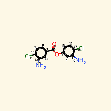 Nc1cc(OC(=O)c2ccc(Cl)c(N)c2)ccc1Cl